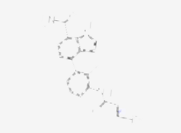 Cc1c(NC(=O)/C=C/C(C)C)cccc1-c1ccc(C(N)=O)c2[nH]ccc12